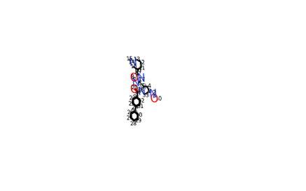 CO/N=C1/C[C@@H](c2noc([C@@H]3CCCN(C)C3)n2)N(C(=O)c2ccc(-c3ccccc3)cc2)C1